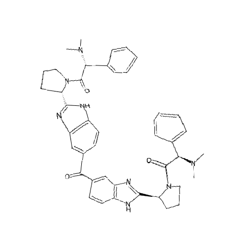 CN(C)[C@@H](C(=O)N1CCC[C@H]1c1nc2cc(C(=O)c3ccc4[nH]c([C@@H]5CCCN5C(=O)[C@@H](c5ccccc5)N(C)C)nc4c3)ccc2[nH]1)c1ccccc1